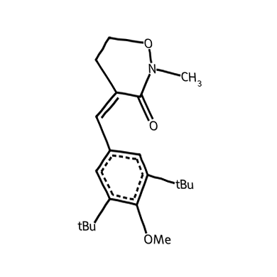 COc1c(C(C)(C)C)cc(/C=C2/CCON(C)C2=O)cc1C(C)(C)C